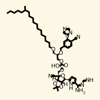 CCCCCC(C)CCCCCCCCCCCCOC[C@H](COP(=O)(O)OC[C@@]1(C#N)O[C@@H](c2ccc(/C(N)=N\C=N)[nH]2)[C@@H]2OC(C)(C)O[C@@H]21)OCc1ccc(C#N)c(-n2cncn2)c1